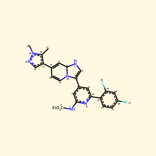 CCOC(=O)Nc1cc(C2=CNC3C=C(c4cnn(C)c4C)C=CN23)cc(-c2ccc(F)cc2F)n1